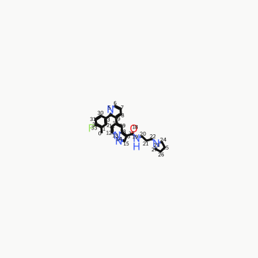 Cc1cc(-c2ncccc2-c2ccn3ncc(C(=O)NCCCN4CCCC4)c3c2)ccc1F